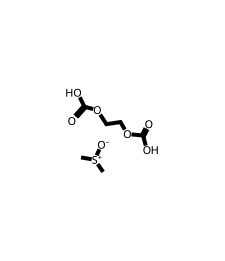 C[S+](C)[O-].O=C(O)OCCOC(=O)O